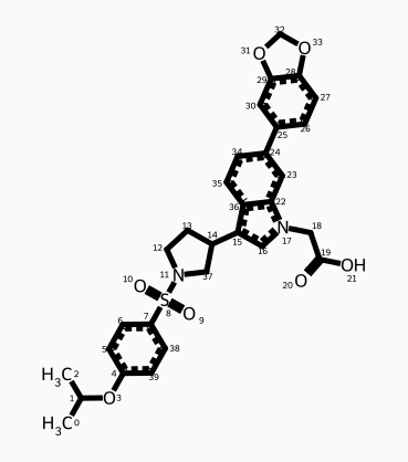 CC(C)Oc1ccc(S(=O)(=O)N2CCC(c3cn(CC(=O)O)c4cc(-c5ccc6c(c5)OCO6)ccc34)C2)cc1